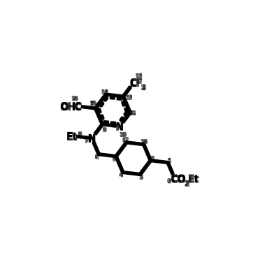 CCOC(=O)CC1CCC(CN(CC)c2ncc(C(F)(F)F)cc2C=O)CC1